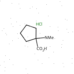 CNC1(C(=O)O)CCCC1.Cl